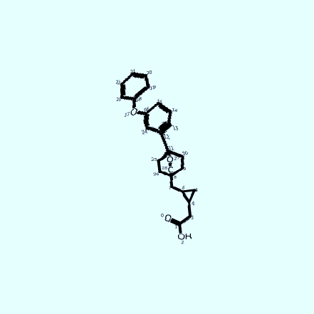 O=C(O)CC1CC1CC12CCC(c3cccc(Oc4ccccc4)c3)(CC1)OC2